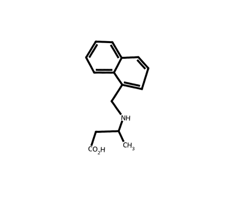 CC(CC(=O)O)NCc1cccc2ccccc12